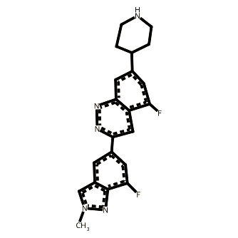 Cn1cc2cc(-c3cc4c(F)cc(C5CCNCC5)cc4nn3)cc(F)c2n1